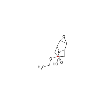 CCOC(=O)N1C2CC(O)CC1C1OC12